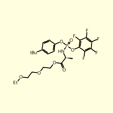 CCOCCOCCOC(=O)[C@H](C)NP(=O)(Oc1ccc(C(C)(C)C)cc1)Oc1c(F)c(F)c(F)c(F)c1F